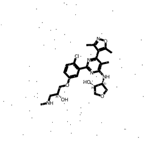 CNC[C@@H](O)COc1ccc(Cl)c(-c2nc(N[C@H]3COC[C@@H]3O)c(C)c(-c3c(C)noc3C)n2)c1